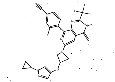 Cn1c(C(F)(F)F)nc2c(-c3ccc(C#N)cc3F)nc(N3CC(Oc4cnn(C5CC5)c4)C3)cc2c1=O